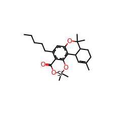 CCCCCc1cc2c(c3c1C(=O)O[Si](C)(C)O3)C1C=C(C)CCC1C(C)(C)O2